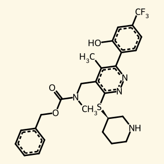 Cc1c(-c2ccc(C(F)(F)F)cc2O)nnc(S[C@@H]2CCCNC2)c1CN(C)C(=O)OCc1ccccc1